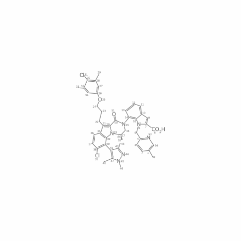 Cc1ccc(Cn2c(C(=O)O)cc3cccc(N4C[C@@H](C)n5c(c(CCCOc6cc(C)c(Cl)c(C)c6)c6ccc(Cl)c(-c7c(C)nn(C)c7C)c65)C4=O)c32)nc1